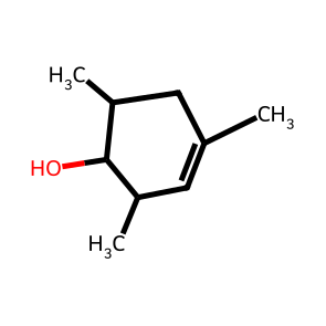 CC1=CC(C)C(O)C(C)C1